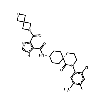 Cc1cc(N2CCC[C@]3(CC[C@@H](NC(=O)c4[nH]cnc4C(=O)N4CC5(COC5)C4)CC3)C2=O)c(Cl)cc1F